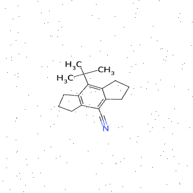 CC(C)(C)c1c2c(c(C#N)c3c1CCC3)CCC2